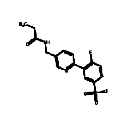 CCC(=O)NCc1ccc(-c2cc(S(=O)(=O)Cl)ccc2F)nc1